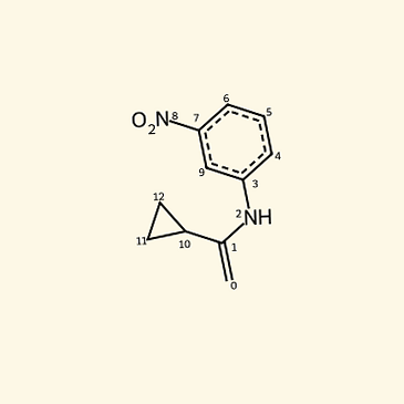 C=C(Nc1cccc([N+](=O)[O-])c1)C1CC1